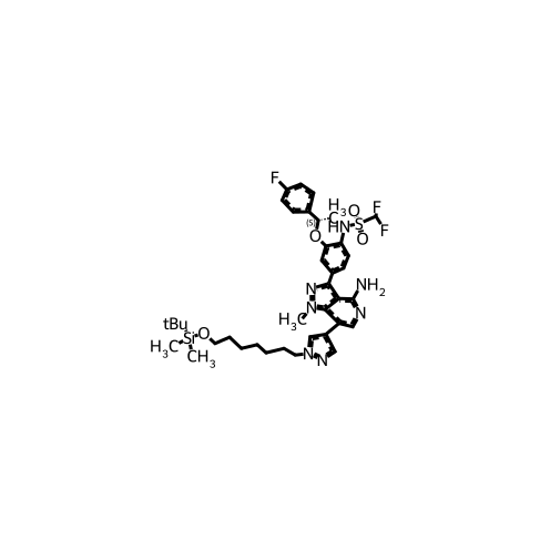 C[C@H](Oc1cc(-c2nn(C)c3c(-c4cnn(CCCCCCCO[Si](C)(C)C(C)(C)C)c4)cnc(N)c23)ccc1NS(=O)(=O)C(F)F)c1ccc(F)cc1